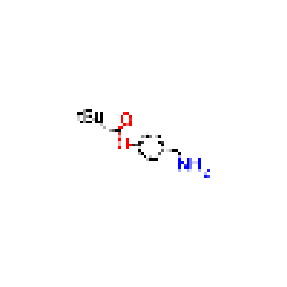 CC(C)(C)CC(=O)Oc1ccc(CN)cc1